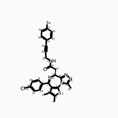 Cc1sc2c(c1C)C(c1ccc(Cl)cc1)=N[C@@H](CC(=O)NCC#Cc1ccc(I)cc1)c1nnc(C)n1-2